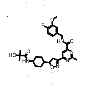 COc1cc(CNC(=O)c2cc(C3=NOC(C4CCC(NC(=O)C(C)(C)O)CC4)C3)nc(C)n2)ccc1F